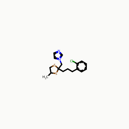 CC1CSC(CCCc2ccccc2Cl)(Cn2ccnc2)S1